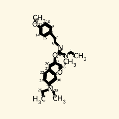 CCN(C)/C(=N/CCc1ccc(OC)cc1)O/C(C=O)=C/c1ccc(N(CC)CC)cc1